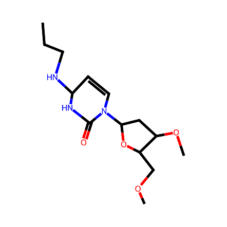 CCCNC1C=CN(C2CC(OC)C(COC)O2)C(=O)N1